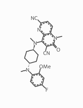 COc1cc(F)ccc1N(C)[C@H]1CC[C@H](N(C)c2c(C#N)c(=O)n(C)c3ccc(C#N)nc23)CC1